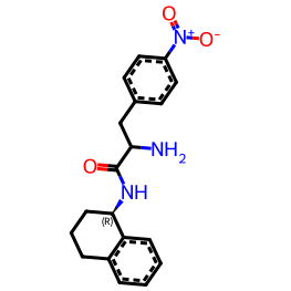 NC(Cc1ccc([N+](=O)[O-])cc1)C(=O)N[C@@H]1CCCc2ccccc21